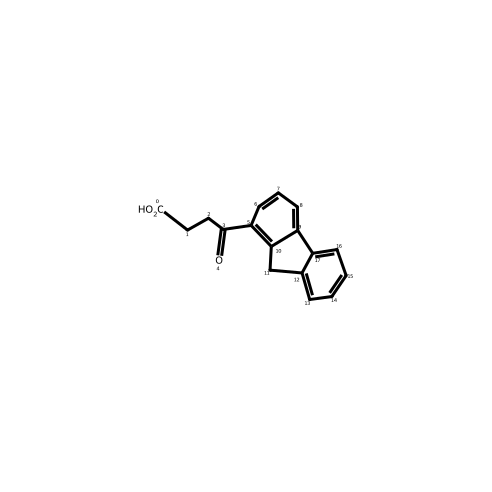 O=C(O)CCC(=O)c1cccc2c1Cc1ccccc1-2